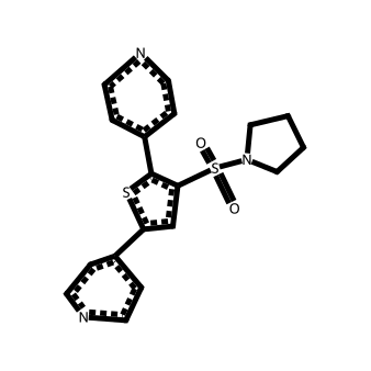 O=S(=O)(c1cc(-c2ccncc2)sc1-c1ccncc1)N1CCCC1